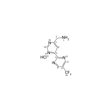 Cl.NCc1cc(-c2ncc(C(F)(F)F)cn2)ncn1